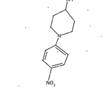 CCCC1CCN(c2ccc([N+](=O)[O-])cc2)CC1